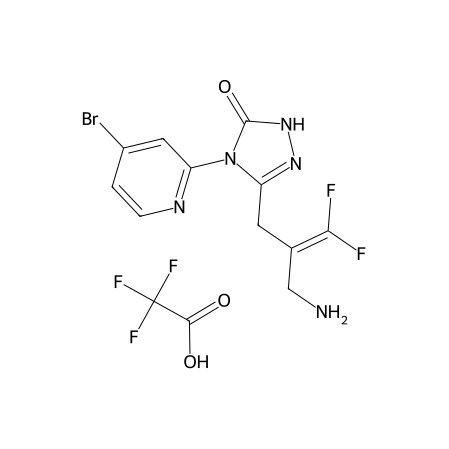 NCC(Cc1n[nH]c(=O)n1-c1cc(Br)ccn1)=C(F)F.O=C(O)C(F)(F)F